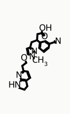 Cn1nc(CC(CC(=O)O)c2cccc(C#N)c2)cc1OCCc1ccc2c(n1)NCCC2